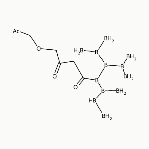 BBB(B)B(B(B(B)B)B(B)B)C(=O)CC(=O)COCC(C)=O